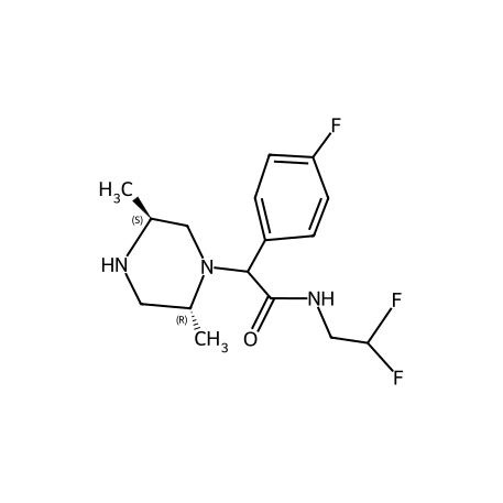 C[C@@H]1CN[C@@H](C)CN1C(C(=O)NCC(F)F)c1ccc(F)cc1